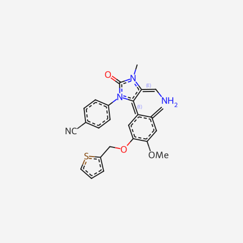 C=c1cc(OC)c(OCc2cccs2)c/c1=c1/c(=C\N)n(C)c(=O)n1-c1ccc(C#N)cc1